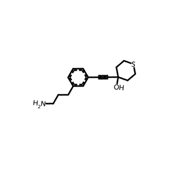 NCCCc1cccc(C#CC2(O)CCSCC2)c1